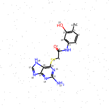 CC(=O)c1ccc(NC(=O)CSc2nc(N)nc3nc[nH]c23)cc1O